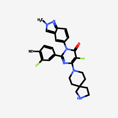 Cn1cc2cc(-n3c(-c4ccc(C#N)c(F)c4)nc(N4CCC5(CCNC5)CC4)c(F)c3=O)ccc2n1